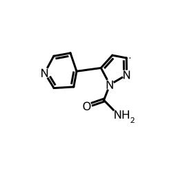 NC(=O)n1n[c]cc1-c1ccncc1